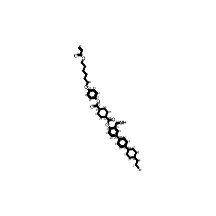 C=CC(=O)OCCCCCCOc1ccc(OC(=O)C2CCC(C(=O)Oc3ccc(-c4ccc(C5CCC(CCC)CC5)cc4)cc3C=N)CC2)cc1